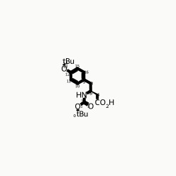 CC(C)(C)OC(=O)N[C@H](CC(=O)O)Cc1ccc(OC(C)(C)C)cc1